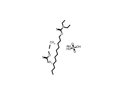 C.CC.CCCCCCCCCCCCOC(=S)N(CC)CC.COC(N)=S.N.O=S(=O)(O)O